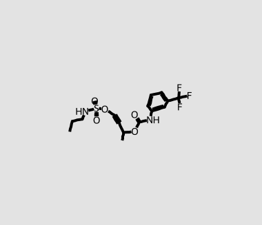 CCCNS(=O)(=O)OC#CC(C)OC(=O)Nc1cccc(C(F)(F)F)c1